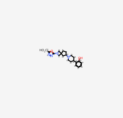 O=C(O)c1nnc(N2CC3(CCC(N4CCC(c5ccccc5O)CC4)C3)C2)o1